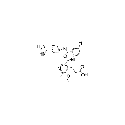 CCOc1c(C)ncc(CNc2ccc(Cl)cc2C(=O)Nc2ccc(C(=N)N)cc2)c1CCC(=O)O